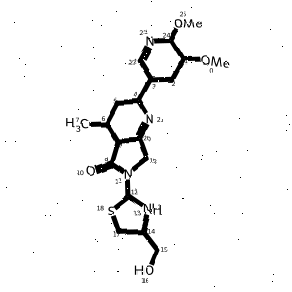 COC1CC(C2CC(C)C3C(=O)N(C4NC(CO)CS4)CC3=N2)C=NC1OC